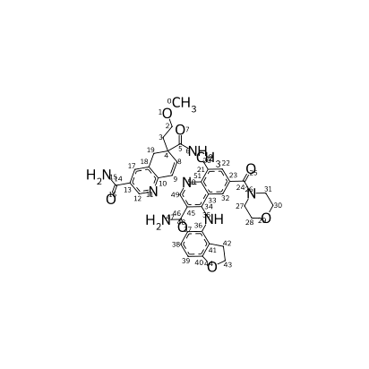 COCCC1(C(N)=O)C=Cc2ncc(C(N)=O)cc2C1.Cc1cc(C(=O)N2CCOCC2)cc2c(Nc3cccc4c3CCO4)c(C(N)=O)cnc12